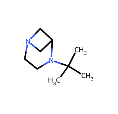 CC(C)(C)N1CCN2CC1C2